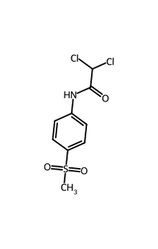 CS(=O)(=O)c1ccc(NC(=O)C(Cl)Cl)cc1